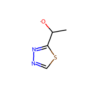 CC([O])c1nncs1